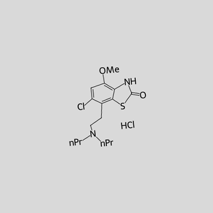 CCCN(CCC)CCc1c(Cl)cc(OC)c2[nH]c(=O)sc12.Cl